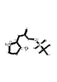 C=C(CO[Si](C)(C)C(C)(C)C)CC1NCC[C@H]1O